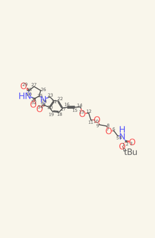 CC(C)(C)OC(=O)NCCOCCOCCOCC#Cc1ccc2c(c1)CN(C1CCC(=O)NC1=O)C2=O